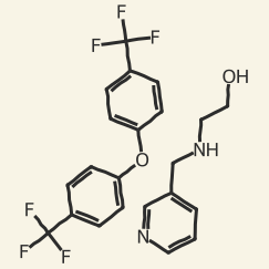 FC(F)(F)c1ccc(Oc2ccc(C(F)(F)F)cc2)cc1.OCCNCc1cccnc1